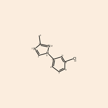 Cc1ncn(-c2cccc(Cl)c2)n1